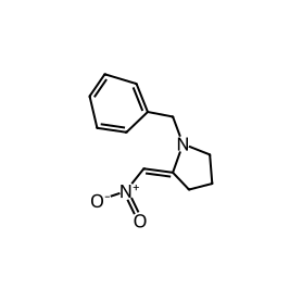 O=[N+]([O-])C=C1CCCN1Cc1ccccc1